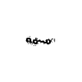 Oc1ccc(C=CC=Cc2ccc(OC3CCCCO3)cc2)cc1